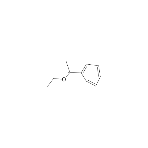 CCO[C](C)c1ccccc1